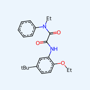 CCOc1ccc(C(C)(C)C)cc1NC(=O)C(=O)N(CC)c1ccccc1